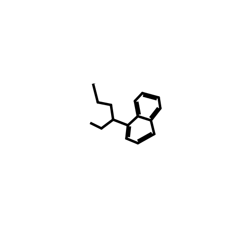 [CH2]CCC(CC)c1cccc2ccccc12